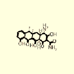 C[C@H]1c2cccc(O)c2C(=O)C2=C(O)[C@]3(O)C(=O)C(C(N)=O)=C(O)[C@@H](N)[C@@H]3C[C@@]21C